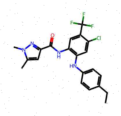 [CH2]Cc1ccc(Nc2cc(Cl)c(C(F)(F)F)cc2NC(=O)c2cc(C)n(C)n2)cc1